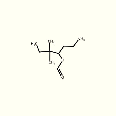 CCCC(O[C]=O)C(C)(C)CC